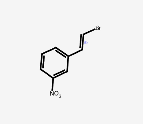 O=[N+]([O-])c1cccc(/C=C/Br)c1